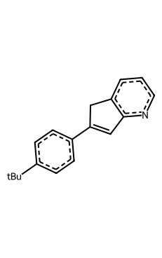 CC(C)(C)c1ccc(C2=Cc3ncccc3C2)cc1